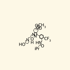 CC(C)CC(=O)NCc1cc(-c2nn(CC(O)CN3CC[C@@H](O)C3)c3c2CN(S(C)(=O)=O)CC3)ccc1C(F)(F)F